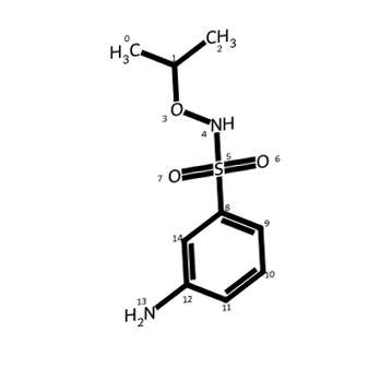 CC(C)ONS(=O)(=O)c1cccc(N)c1